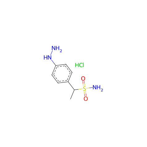 CC(c1ccc(NN)cc1)S(N)(=O)=O.Cl